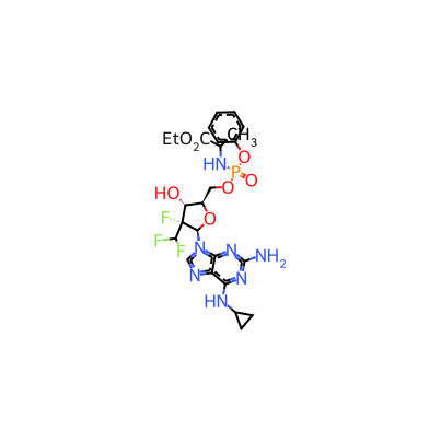 CCOC(=O)C(C)N[P@](=O)(OC[C@H]1O[C@@H](n2cnc3c(NC4CC4)nc(N)nc32)[C@@](F)(C(F)F)[C@@H]1O)Oc1ccccc1